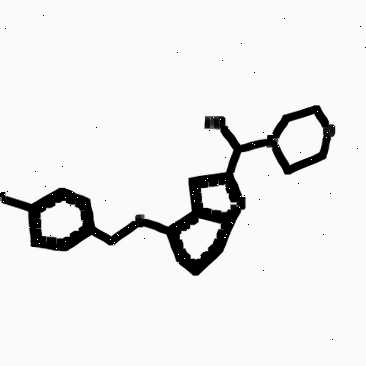 OC(c1cc2c(SCc3ccc(F)cc3)cccc2s1)N1CCOCC1